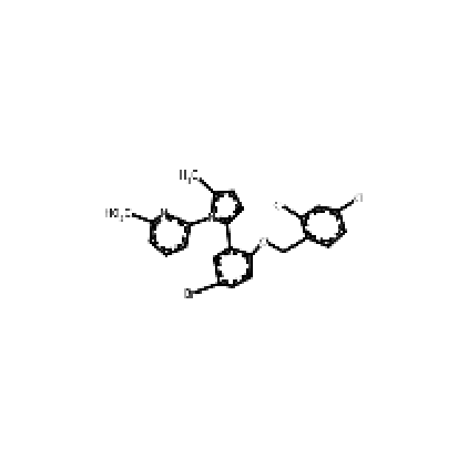 Cc1ccc(-c2cc(Br)ccc2OCc2ccc(Cl)cc2Cl)n1-c1cccc(C(=O)O)n1